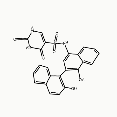 O=c1[nH]cc(S(=O)(=O)Nc2cc(-c3c(O)ccc4ccccc34)c(O)c3ccccc23)c(=O)[nH]1